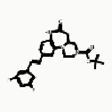 CC(C)(C)OC(=O)N1CCN2c3cc(/C=C/c4cc(F)cc(F)c4)ccc3NC(=O)CC2C1